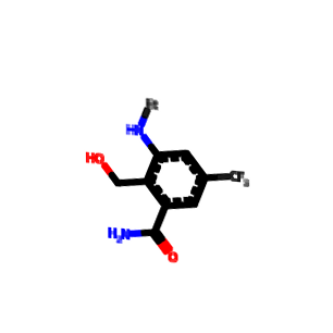 CCNc1cc(C(F)(F)F)cc(C(N)=O)c1CO